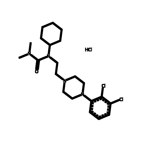 CN(C)C(=O)N(CCN1CCN(c2cccc(Cl)c2Cl)CC1)C1CCCCC1.Cl